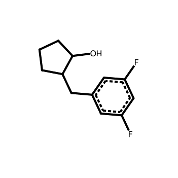 OC1CCCC1Cc1cc(F)cc(F)c1